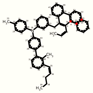 C/C=C\C(Nc1ccccc1)=C(/Cc1cccc(N(c2ccc(C)cc2)c2ccc(-c3cccc(/C=C\CCC)c3C)cc2)c1)c1ccccc1-c1ccccc1